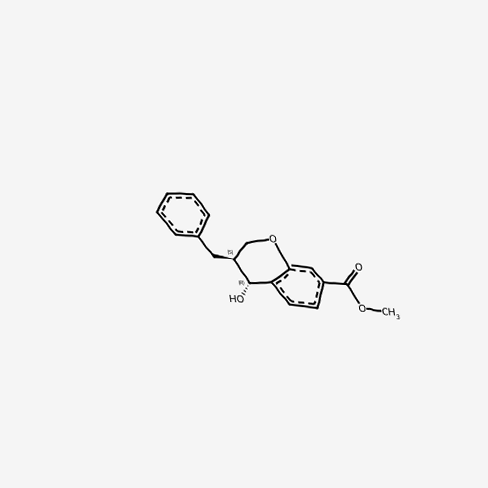 COC(=O)c1ccc2c(c1)OC[C@H](Cc1ccccc1)[C@H]2O